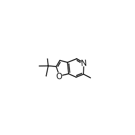 Cc1cc2oc(C(C)(C)C)cc2cn1